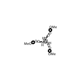 COc1ccc(OCOCCNc2nc(NCCOCOc3ccc(OC)cc3)nc(NCOCOc3ccc(OC)cc3)n2)cc1